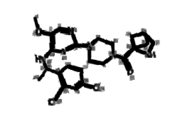 COc1cnc(N2CCN(C(=O)C34CC(CN3)C4)CC2)nc1N[C@H](C)c1ccc(Cl)cc1Cl